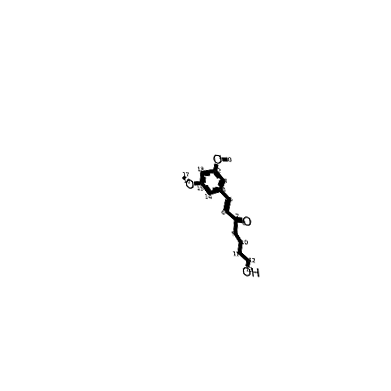 COc1cc(C=CC(=O)CCCCO)cc(OC)c1